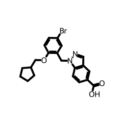 O=C(O)c1ccc2c(cnn2Cc2cc(Br)ccc2OCC2CCCC2)c1